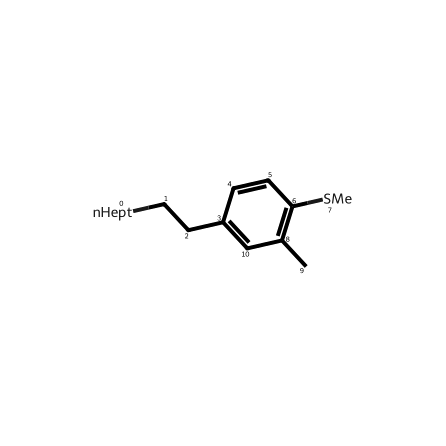 CCCCCCCCCc1ccc(SC)c(C)c1